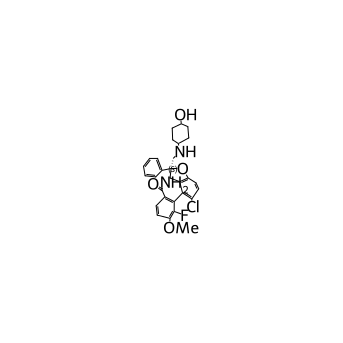 COc1ccc(C(N)=O)c(-c2c(Cl)ccc3c2C[C@@](CNC2CCC(O)CC2)(c2ccccc2)O3)c1F